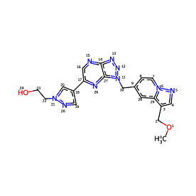 COCc1cnn2ccc(Cn3nnc4ncc(-c5cnn(CCO)c5)nc43)cc12